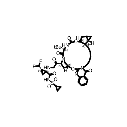 CC(C)(C)[C@@H]1NC(=O)O[C@@H]2CC3C[C@@H]3[C@H]2CCCCCn2c(nc3ccccc3c2=O)O[C@@H]2C[C@@H](C(=O)CN[C@]3(C(=O)NS(=O)(=O)C4CC4)C[C@H]3C(F)F)N(C2)C1=O